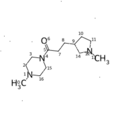 CN1CCN(C(=O)CCC2CCN(C)C2)CC1